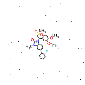 CCOc1cc([C@H](CS(C)(=O)=O)n2c(=O)n(C)c3cc(-c4ccccc4F)ccc32)ccc1OC